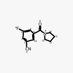 N#Cc1cc(F)cc(C(=O)N2CCCC2)c1